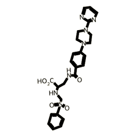 O=C(NCC(NCS(=O)(=O)c1ccccc1)C(=O)O)c1ccc(N2CCN(c3ncccn3)CC2)cc1